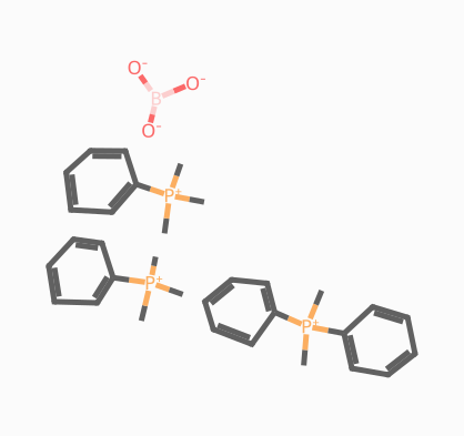 C[P+](C)(C)c1ccccc1.C[P+](C)(C)c1ccccc1.C[P+](C)(c1ccccc1)c1ccccc1.[O-]B([O-])[O-]